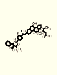 CC(=O)c1c(C)nc2ccccc2c1NCc1ccc(CC[C@@]2(O)CC[C@@]3(C)C(C[C@@H](O)C4C3C[C@H](O)[C@@]3(C)C4CC[C@@H]3C(C)CCC(=O)O)C2)c(F)c1